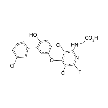 O=C(O)CNc1nc(F)c(Cl)c(Oc2ccc(O)c(-c3cccc(Cl)c3)c2)c1Cl